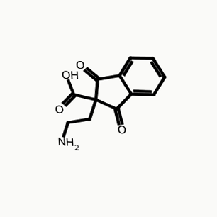 NCCC1(C(=O)O)C(=O)c2ccccc2C1=O